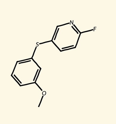 COc1cccc(Sc2ccc(F)nc2)c1